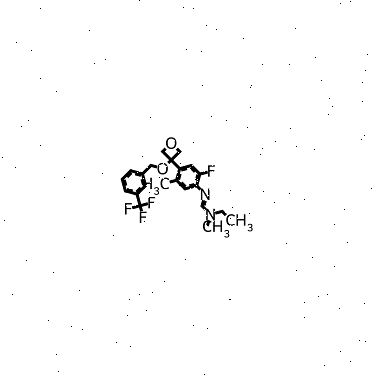 CCN(C)C=Nc1cc(C)c(C2(OCc3cccc(C(F)(F)F)c3)COC2)cc1F